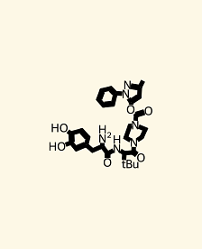 Cc1cc(OC(=O)N2CCN(C(=O)C(NC(=O)C(N)Cc3ccc(O)c(O)c3)C(C)(C)C)CC2)n(-c2ccccc2)n1